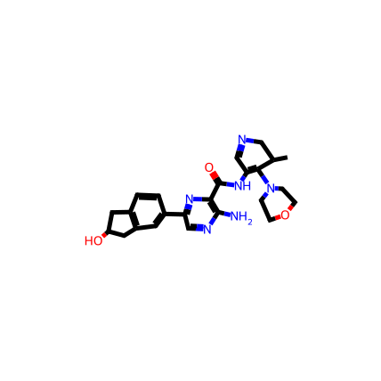 CC1CN=CC(NC(=O)c2nc(-c3ccc4c(c3)CC(O)C4)cnc2N)=C1N1CCOCC1